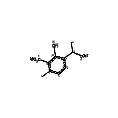 CCCCCCCCC(C)c1ccc(C)c(C(=O)O)c1O